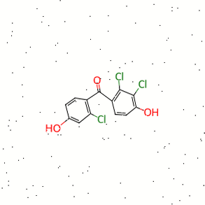 O=C(c1ccc(O)cc1Cl)c1ccc(O)c(Cl)c1Cl